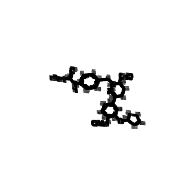 CCCCCC(=O)Nc1ccc(CN2N=C(c3ccc(OC)c(OC4CCCC4)c3)CCC2C=O)cc1